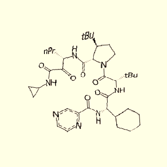 CCC[C@H](NC(=O)[C@@H]1[C@@H](C(C)(C)C)CCN1C(=O)[C@@H](NC(=O)[C@@H](NC(=O)c1cnccn1)C1CCCCC1)C(C)(C)C)C(=O)C(=O)NC1CC1